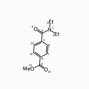 CCN(CC)C(=O)c1ccc(C(=O)OC)cc1